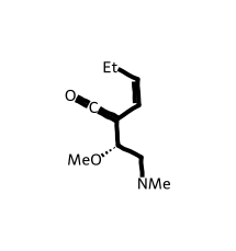 CC/C=C\C(=C=O)[C@H](CNC)OC